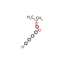 CCCCC(CC)COc1ccc(C(=O)c2ccc(-c3ccc(-c4ccc(-c5ccc(C#N)cc5)cc4)cc3)cc2)cc1